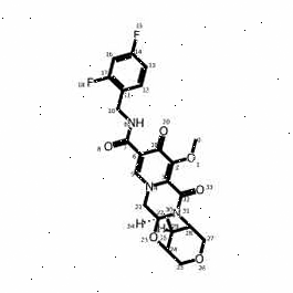 COc1c2n(cc(C(=O)NCc3ccc(F)cc3F)c1=O)C[C@@H]1OC3COCC([C@H]3C)N1C2=O